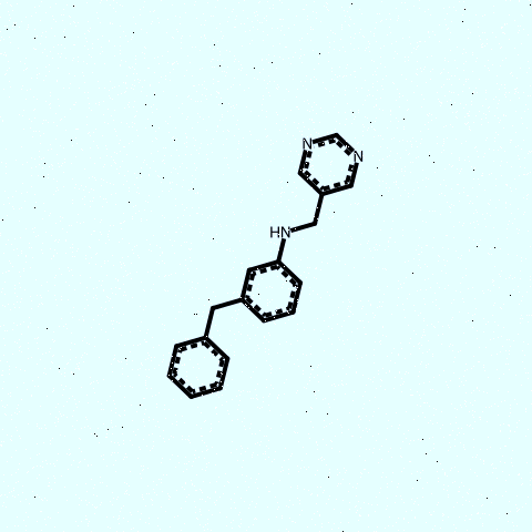 c1ccc(Cc2cccc(NCc3cncnc3)c2)cc1